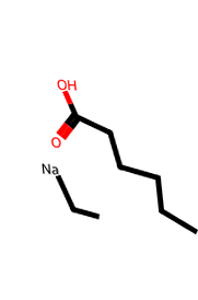 CCCCCC(=O)O.C[CH2][Na]